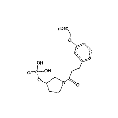 CCCCCCCCCCCOc1cccc(CCC(=O)N2CCC(OP(=O)(O)O)C2)c1